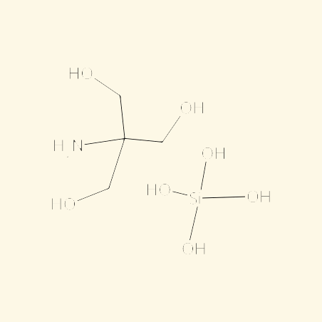 NC(CO)(CO)CO.O[Si](O)(O)O